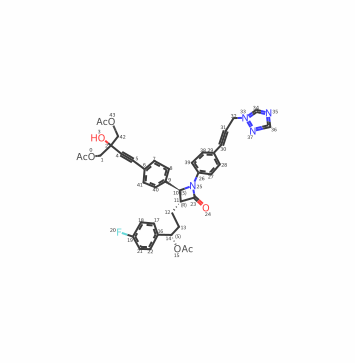 CC(=O)OCC(O)(C#Cc1ccc([C@@H]2[C@@H](CC[C@H](OC(C)=O)c3ccc(F)cc3)C(=O)N2c2ccc(C#CCn3cncn3)cc2)cc1)COC(C)=O